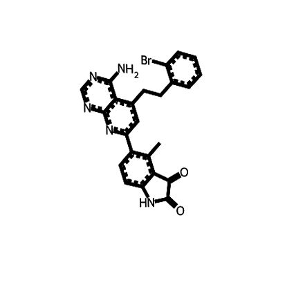 Cc1c(-c2cc(CCc3ccccc3Br)c3c(N)ncnc3n2)ccc2c1C(=O)C(=O)N2